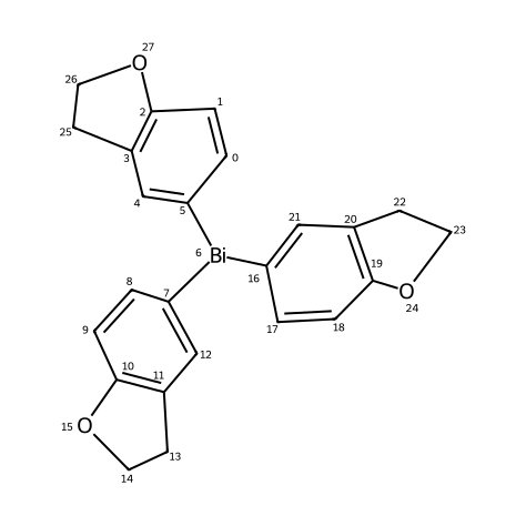 c1cc2c(c[c]1[Bi]([c]1ccc3c(c1)CCO3)[c]1ccc3c(c1)CCO3)CCO2